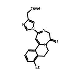 CCc1cccc2c1CCN1C(=O)CN=C(n3cnc(COC)c3)C=C21